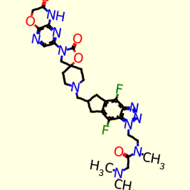 CN(C)CC(=O)N(C)CCn1nnc2c(F)c3c(c(F)c21)CC(CN1CCC2(CC1)CN(c1cnc4c(n1)NC(=O)CO4)C(=O)O2)C3